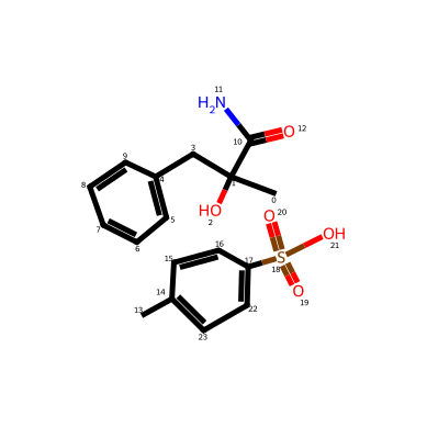 CC(O)(Cc1ccccc1)C(N)=O.Cc1ccc(S(=O)(=O)O)cc1